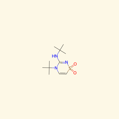 CC(C)(C)NC1=NS(=O)(=O)C=CN1C(C)(C)C